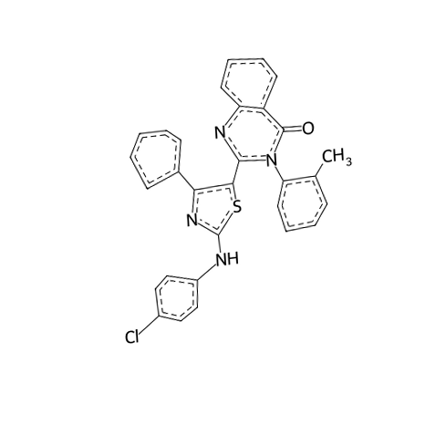 Cc1ccccc1-n1c(-c2sc(Nc3ccc(Cl)cc3)nc2-c2ccccc2)nc2ccccc2c1=O